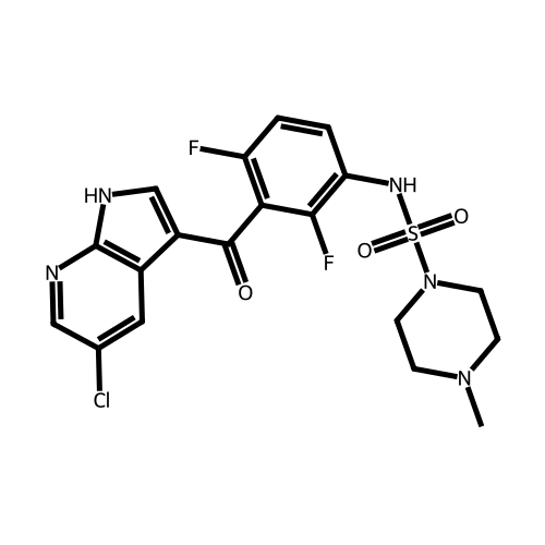 CN1CCN(S(=O)(=O)Nc2ccc(F)c(C(=O)c3c[nH]c4ncc(Cl)cc34)c2F)CC1